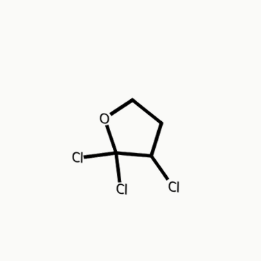 ClC1CCOC1(Cl)Cl